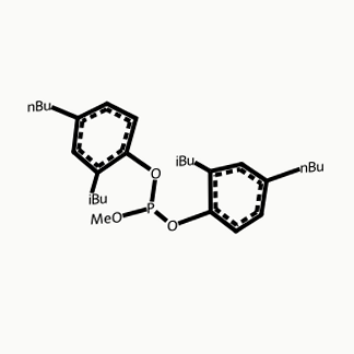 CCCCc1ccc(OP(OC)Oc2ccc(CCCC)cc2C(C)CC)c(C(C)CC)c1